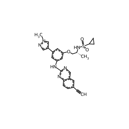 C#Cc1ccc2nc(Nc3cc(OC[C@@H](C)NS(=O)(=O)C4CC4)cc(-c4cnn(C)c4)c3)ncc2c1